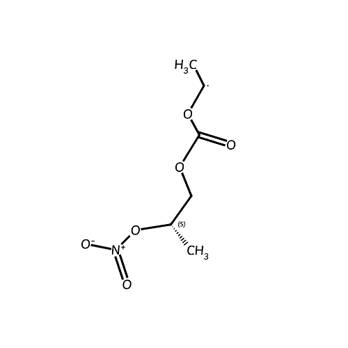 C[CH]OC(=O)OC[C@H](C)O[N+](=O)[O-]